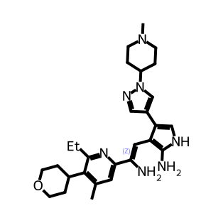 CCc1nc(/C(N)=C/c2c(-c3cnn(C4CCN(C)CC4)c3)c[nH]c2N)cc(C)c1C1CCOCC1